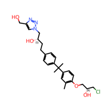 Cc1cc(C(C)(C)c2ccc(CC[C@H](O)Cn3cc(CO)nn3)cc2)ccc1OC[C@@H](O)CCl